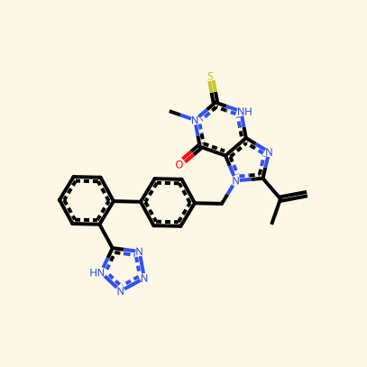 C=C(C)c1nc2[nH]c(=S)n(C)c(=O)c2n1Cc1ccc(-c2ccccc2-c2nnn[nH]2)cc1